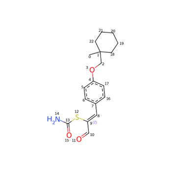 CC1(COc2ccc(/C=C(/C=O)SC(N)=O)cc2)CCCCC1